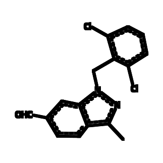 Cc1nn(Cc2c(Cl)cccc2Cl)c2cc(C=O)ccc12